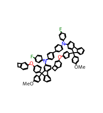 COc1ccc(C2(c3ccc(Oc4ccc5c(c4)CC5)cc3)c3ccccc3-c3ccc(N(c4ccc(F)cc4)c4ccc(-c5ccc(N(c6ccc(F)cc6)c6ccc7c(c6)C(c6ccc(OC)cc6)(c6ccc(Oc8ccc9c(c8)CC9)cc6)c6ccccc6-7)cc5)cc4)cc32)cc1